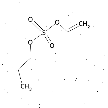 C=COS(=O)(=O)OCCC